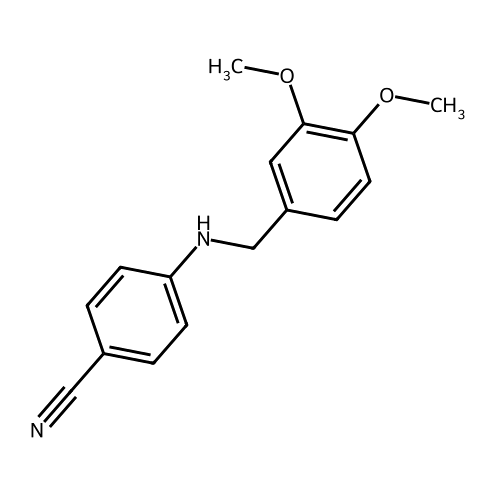 COc1ccc(CNc2ccc(C#N)cc2)cc1OC